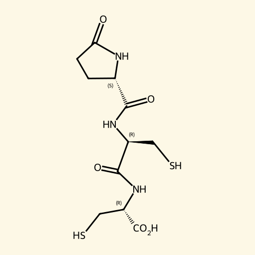 O=C1CC[C@@H](C(=O)N[C@@H](CS)C(=O)N[C@@H](CS)C(=O)O)N1